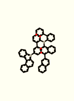 c1ccc(-c2ccccc2N(c2ccccc2-c2cccc(-n3c4ccccc4c4c5ccccc5ccc43)c2)c2ccc(-c3ccc4ccccc4c3)c3ccccc23)cc1